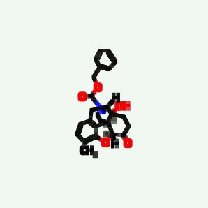 Cc1ccc2c3c1O[C@H]1C(=O)CC[C@@]4(O)[C@@H](C2)N(C(=O)OCc2ccccc2)CC[C@]314